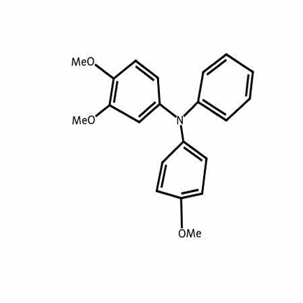 COc1ccc(N(c2ccccc2)c2ccc(OC)c(OC)c2)cc1